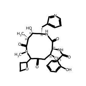 C[C@H]1CC(=O)C(C2CCO2)N(C)C(=O)[C@H](C)[C@H](O)[C@H](Cc2cccnc2)NC(=O)[C@H]1NC(=O)c1ccccc1O